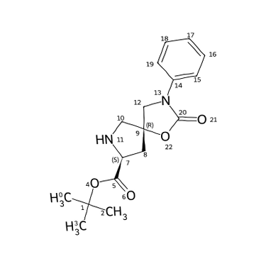 CC(C)(C)OC(=O)[C@@H]1C[C@@]2(CN1)CN(c1ccccc1)C(=O)O2